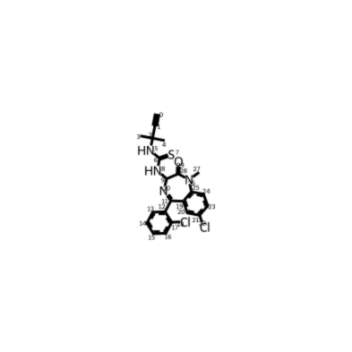 C#CC(C)(C)NC(=S)NC1N=C(c2ccccc2Cl)c2cc(Cl)ccc2N(C)C1=O